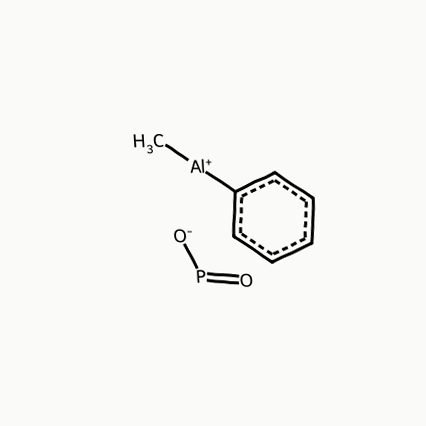 O=P[O-].[CH3][Al+][c]1ccccc1